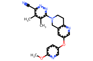 COc1ccc(Oc2cnc3c(c2)CN(c2nnc(C#N)c(C)c2C)CC3)cn1